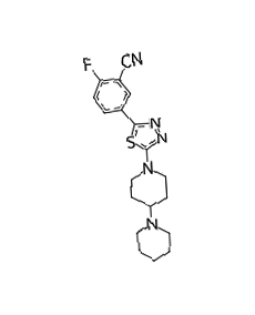 N#Cc1cc(-c2nnc(N3CCC(N4CCCCC4)CC3)s2)ccc1F